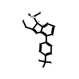 CCC1=Cc2c(-c3ccc(C(C)(C)C)cc3)cccc2[CH]1[Hf]([CH3])[CH3]